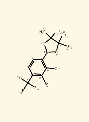 CC1(C)OB(c2ccc(C(F)(F)F)c(Br)c2Cl)OC1(C)C